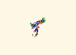 CCCCN1CC(C(=O)NC(Cc2cc(F)cc(F)c2)C[C@H]2CN(S(=O)(=O)c3ccc(F)c(Cl)c3)CCN2)CC1=O